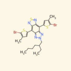 CCCCC(CC)Cn1nc2c(-c3cc(C)c(Br)s3)c3c(c(-c4cc(C)c(Br)s4)c2n1)N=S=N3